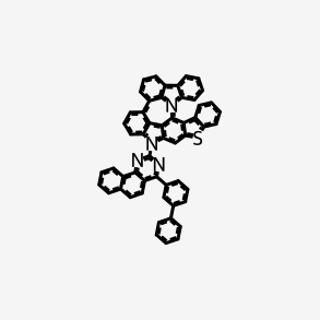 c1ccc(-c2cccc(-c3nc(-n4c5cccc6c7cccc8c9ccccc9n(c78)c7c8c(cc4c7c65)sc4ccccc48)nc4c3ccc3ccccc34)c2)cc1